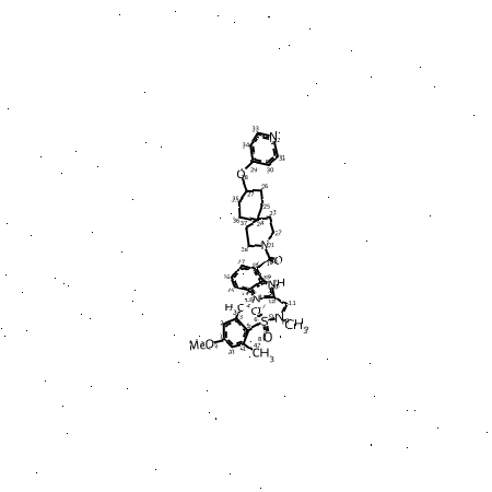 COc1cc(C)c(S(=O)(=O)N(C)Cc2nc3cccc(C(=O)N4CCC5(CCC(Oc6ccncc6)CC5)CC4)c3[nH]2)c(C)c1